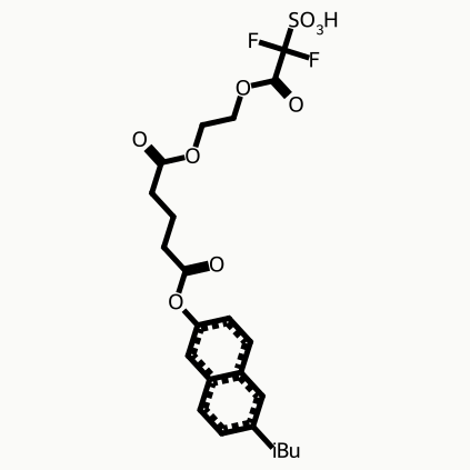 CCC(C)c1ccc2cc(OC(=O)CCCC(=O)OCCOC(=O)C(F)(F)S(=O)(=O)O)ccc2c1